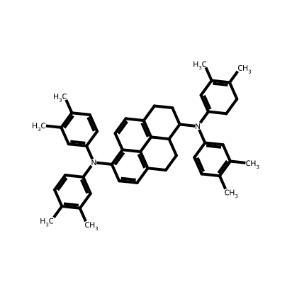 CC1=C(C)CCC(N(c2ccc(C)c(C)c2)C2CCc3ccc4c(N(c5ccc(C)c(C)c5)c5ccc(C)c(C)c5)ccc5c4c3C2CC5)=C1